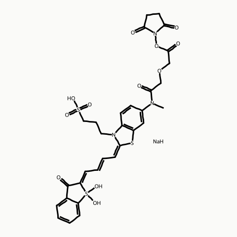 CN(C(=O)COCC(=O)ON1C(=O)CCC1=O)c1ccc2c(c1)SC(=CC=CC=C1C(=O)c3ccccc3S1(O)O)N2CCCS(=O)(=O)O.[NaH]